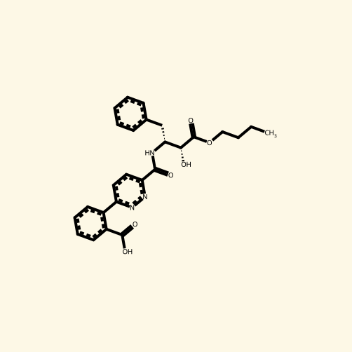 CCCCOC(=O)[C@H](O)[C@@H](Cc1ccccc1)NC(=O)c1ccc(-c2ccccc2C(=O)O)nn1